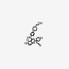 N#CCC1(c2nc(Nc3ccc(N4CCN(CCO)CC4)cc3)c3c(=O)[nH]ncc3n2)CCNCC1